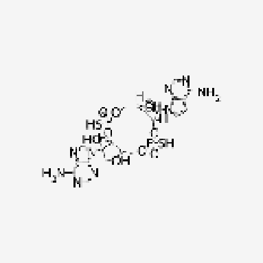 Nc1ncnc2c1ccn2[C@@H]1O[C@@H]2COP(=O)(S)O[C@@H]3[C@@H](COP(=O)(S)O[C@@H]1[C@@H]2O)OC[C@@]3(O)n1cnc2c(N)ncnc21